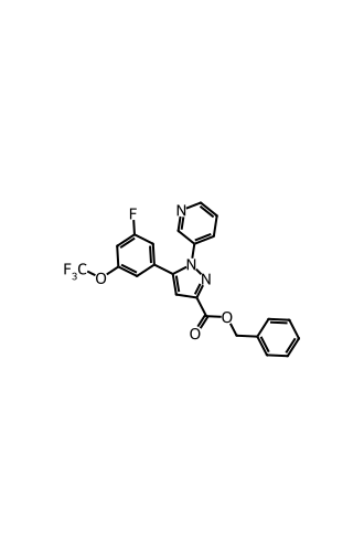 O=C(OCc1ccccc1)c1cc(-c2cc(F)cc(OC(F)(F)F)c2)n(-c2cccnc2)n1